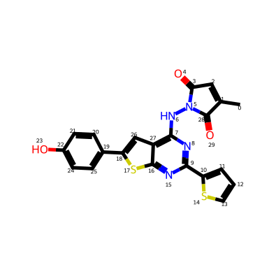 CC1=CC(=O)N(Nc2nc(-c3cccs3)nc3sc(-c4ccc(O)cc4)cc23)C1=O